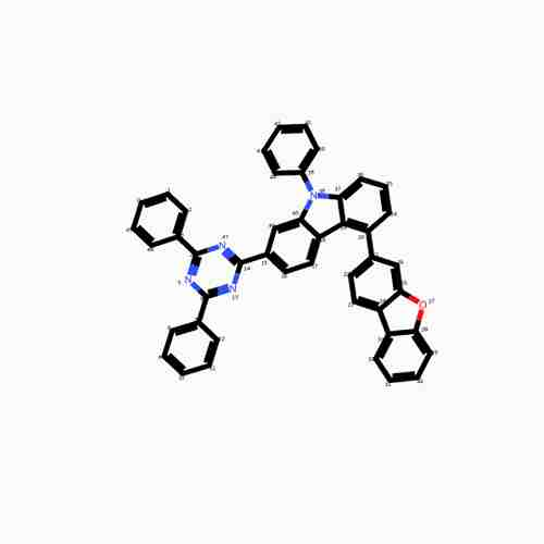 c1ccc(-c2nc(-c3ccccc3)nc(-c3ccc4c5c(-c6ccc7c(c6)oc6ccccc67)cccc5n(-c5ccccc5)c4c3)n2)cc1